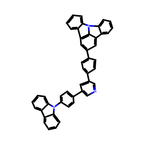 c1ccc2c(c1)c1ccccc1n2-c1ccc(-c2cncc(-c3ccc(-c4cc5c6ccccc6n6c7ccccc7c(c4)c56)cc3)c2)cc1